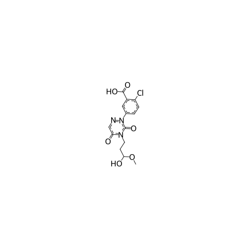 COC(O)CCn1c(=O)cnn(-c2ccc(Cl)c(C(=O)O)c2)c1=O